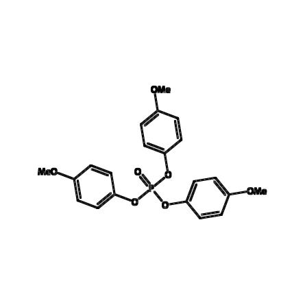 COc1ccc(OP(=O)(Oc2ccc(OC)cc2)Oc2ccc(OC)cc2)cc1